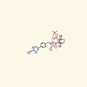 CC(C)(C)OC(=O)N1[C@@H]2CC[C@@H](C2)[C@H]1C(=O)N[C@H](C#N)Cc1ccc(-c2cnc(C#N)nc2)cc1